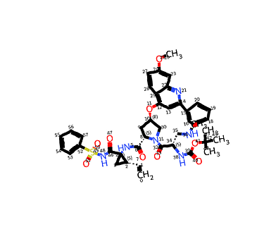 C=C[C@@H]1C[C@]1(NC(=O)[C@@H]1C[C@@H](Oc2cc(-c3ccccc3)nc3cc(OC)ccc23)CN1C(=O)[C@H](CNC)NC(=O)OC(C)(C)C)C(=O)NS(=O)(=O)c1ccccc1